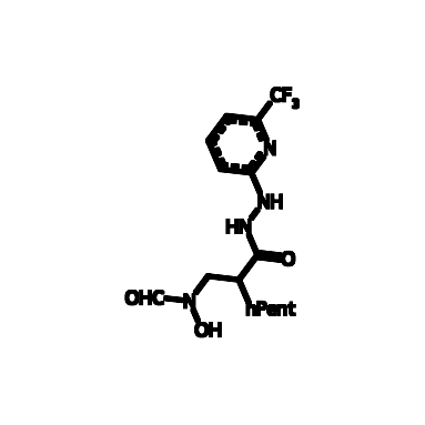 CCCCCC(CN(O)C=O)C(=O)NNc1cccc(C(F)(F)F)n1